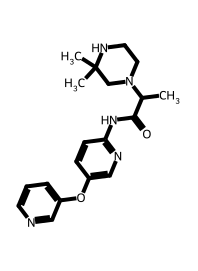 CC(C(=O)Nc1ccc(Oc2cccnc2)cn1)N1CCNC(C)(C)C1